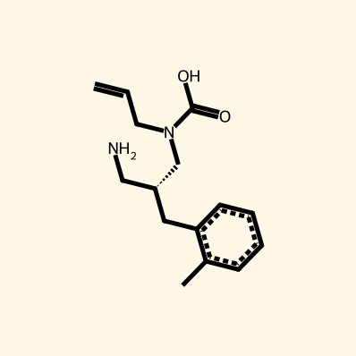 C=CCN(C[C@@H](CN)Cc1ccccc1C)C(=O)O